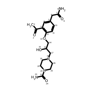 CC(=O)c1cc(CC(N)=O)ccc1OCC(O)CN1CCN(C(N)=O)CC1